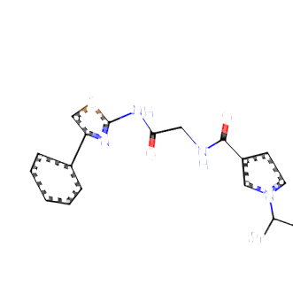 CC(C)C(C)n1ccc(C(=O)NCC(=O)Nc2nc(-c3ccccc3)cs2)c1